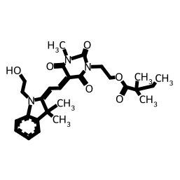 CCC(C)(C)C(=O)OCCN1C(=O)/C(=C/C=C2/N(CCO)c3ccccc3C2(C)C)C(=O)N(C)C1=O